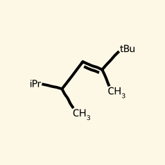 CC(=CC(C)C(C)C)C(C)(C)C